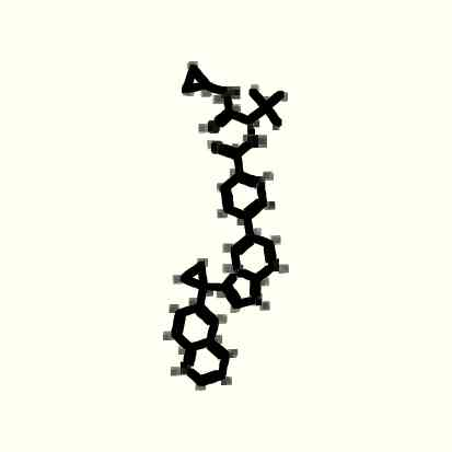 CC(C)(C)[C@H](NC(=O)c1ccc(-c2cnc3ncc(C4(c5ccc6ncccc6c5)CC4)n3c2)cn1)C(=O)NC1CC1